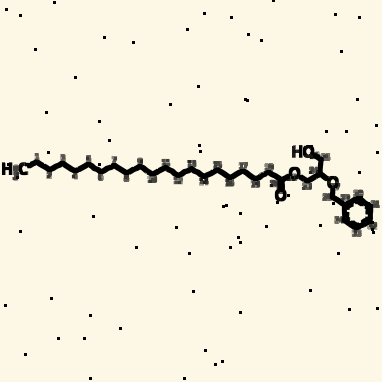 CCCCCCCCCCCCCCCCCCCCC(=O)OCC(CO)OCc1ccccc1